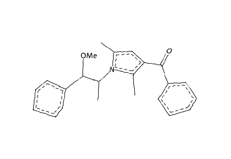 COC(c1ccccc1)C(C)n1c(C)cc(C(=O)c2ccccc2)c1C